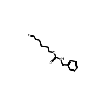 O=CCCCCCOC(=O)NCc1ccccc1